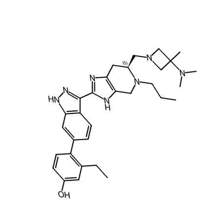 CCCN1Cc2[nH]c(-c3n[nH]c4cc(-c5ccc(O)cc5CC)ccc34)nc2C[C@H]1CN1CC(C)(N(C)C)C1